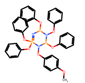 COc1ccc(ON2P(Oc3ccccc3)N(Oc3ccccc3)P(Oc3ccccc3)N=P2(Oc2ccccc2)Oc2ccccc2)cc1